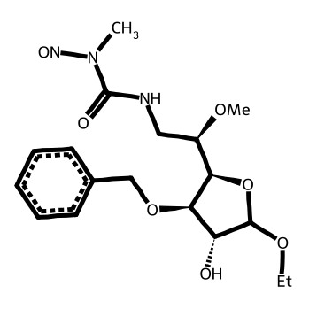 CCOC1O[C@H]([C@@H](CNC(=O)N(C)N=O)OC)[C@H](OCc2ccccc2)[C@H]1O